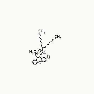 CCCCCCCCC(CCCCCCCC)C(=O)OCN(C)CC1c2ccccc2Oc2ccc(Cl)cc2C1CC